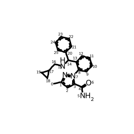 Cc1cc(C(N)=O)n(-c2ccccc2C(NCC2CC2)c2ccccc2)n1